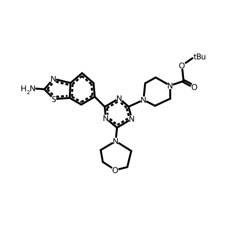 CC(C)(C)OC(=O)N1CCN(c2nc(-c3ccc4nc(N)sc4c3)nc(N3CCOCC3)n2)CC1